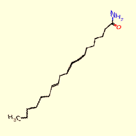 CCCCCC/C=C/CCCCCCCCCC(N)=O